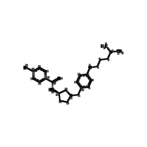 CN(C)CCCOc1ccc(CN2CC[C@@H](NC(=O)c3ccc(Br)cc3)C2)cc1